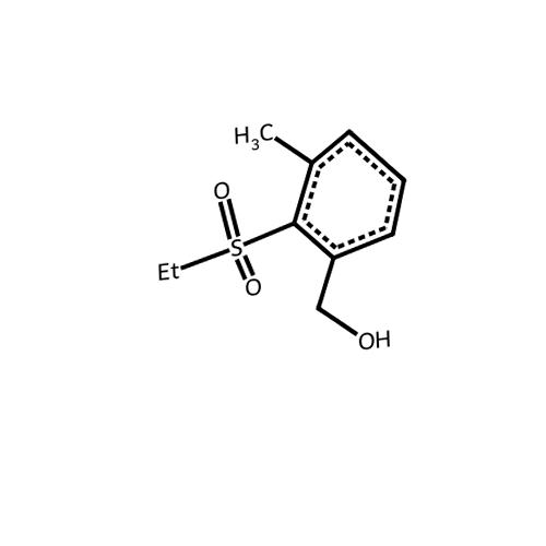 CCS(=O)(=O)c1c(C)cccc1CO